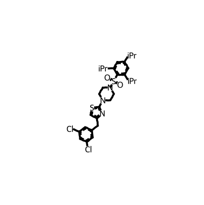 CC(C)c1cc(C(C)C)c(S(=O)(=O)N2CCN(c3nc(Cc4cc(Cl)cc(Cl)c4)cs3)CC2)c(C(C)C)c1